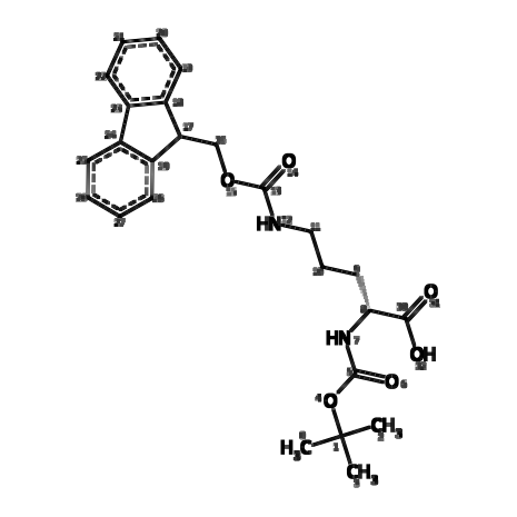 CC(C)(C)OC(=O)N[C@H](CCCNC(=O)OCC1c2ccccc2-c2ccccc21)C(=O)O